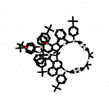 CC(C)(C)c1ccc(N(c2ccc(C(C)(C)C)cc2)c2cc3c(c4ccccc24)-c2c4cc(c5ccccc25)N(c2ccc(C(C)(C)C)cc2)c2ccc(cc2)C(C)(C)CC(C)(C)c2ccc(cc2)N(c2ccc(C(C)(C)C)cc2)c2cc5c(c6ccccc26)-c2c(cc(N(c6ccc(C(C)(C)C)cc6)c6ccc(C(C)(C)C)cc6)c6ccccc26)C5(C)C34C)cc1